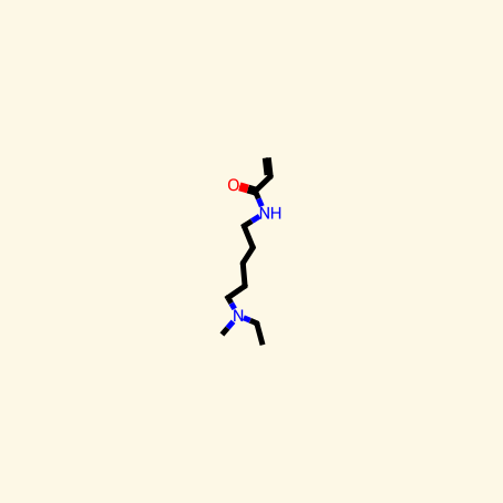 C=CC(=O)NCCCCCN(C)CC